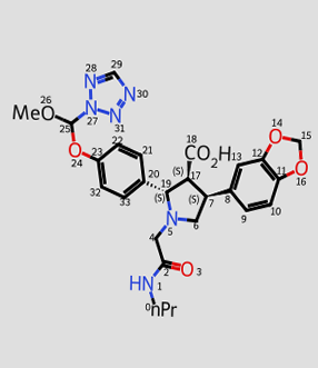 CCCNC(=O)CN1C[C@H](c2ccc3c(c2)OCO3)[C@H](C(=O)O)[C@H]1c1ccc(OC(OC)n2ncnn2)cc1